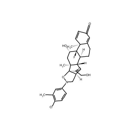 Cc1cc(N2C[C@@H]3C[C@H]4[C@@H]5CCC6=CC(=O)C=C[C@]6(C)[C@@]5(F)[C@@H](O)C[C@]4(C)[C@]3(C(=O)CO)O2)ccc1Cl